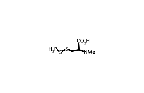 CNC(CSSP)C(=O)O